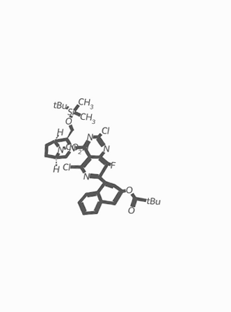 CC(C)(C)C(=O)Oc1cc(-c2nc(Cl)c3c(N4C[C@H]5CC[C@@H]([C@H]4CO[Si](C)(C)C(C)(C)C)N5C(=O)O)nc(Cl)nc3c2F)c2ccccc2c1